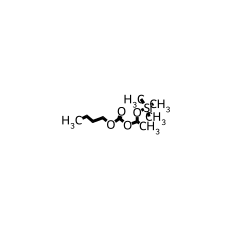 CCCCOC(=O)OC(C)O[Si](C)(C)C